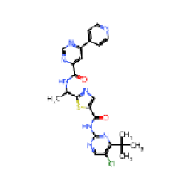 CC(NC(=O)c1cc(-c2ccncc2)ncn1)c1ncc(C(=O)Nc2ncc(Cl)c(C(C)(C)C)n2)s1